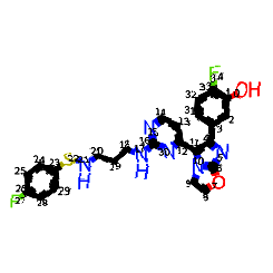 Oc1cc(-c2nc3occn3c2-c2ccnc(NCCCNSc3ccc(F)cc3)n2)ccc1F